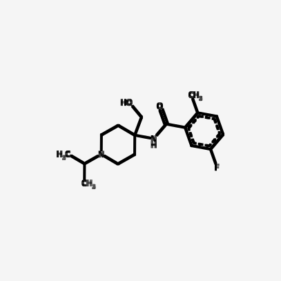 Cc1ccc(F)cc1C(=O)NC1(CO)CCN(C(C)C)CC1